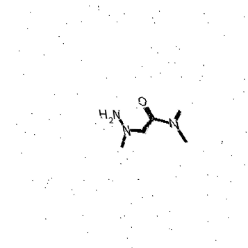 CN(N)CC(=O)N(C)C